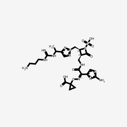 CC(NC(=N)NCCCN)c1cnn(C[C@@H]2[C@H](CNC(=O)/C(=N\OC3(C(=O)O)CC3)c3csc(N)n3)C(=O)N2S(=O)(=O)O)n1